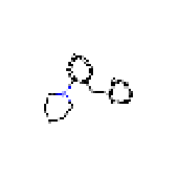 c1ccc(Cc2ccccc2N2CCCCC2)cc1